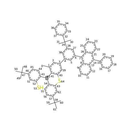 Cc1cc(-c2cc(-c3c4ccccc4c(-c4ccccc4)c4ccccc34)cc(C(C)(C)c3ccccc3)c2)cc2c1B(c1ccc(C(C)(C)C)cc1S)c1ccc(C(C)(C)C)cc1S2